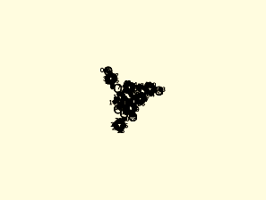 COc1ccc(COCCC2N(C(C)C)C(=O)c3c(OCc4ccccc4)c(=O)ccn3N2C(c2ccccc2)c2ccccc2OCc2ccc(OC)cc2)cc1